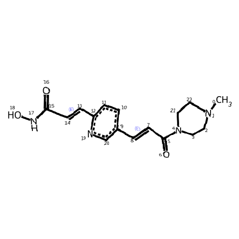 CN1CCN(C(=O)/C=C/c2ccc(/C=C/C(=O)NO)nc2)CC1